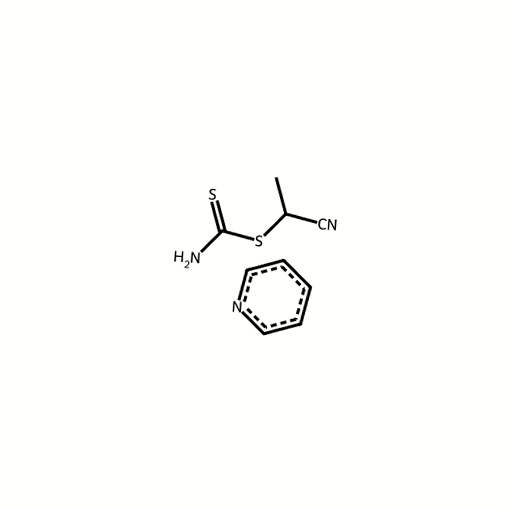 CC(C#N)SC(N)=S.c1ccncc1